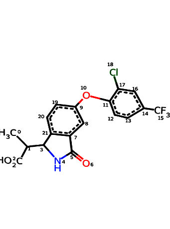 CC(C(=O)O)C1NC(=O)c2cc(Oc3ccc(C(F)(F)F)cc3Cl)ccc21